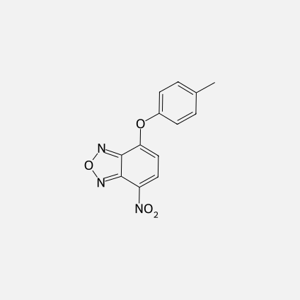 Cc1ccc(Oc2ccc([N+](=O)[O-])c3nonc23)cc1